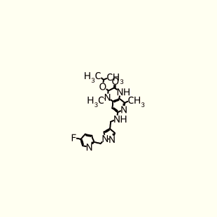 Cc1nc(NCc2cnn(Cc3ccc(F)cn3)c2)cc2c1NC(=O)C(OC(C)C)N2C